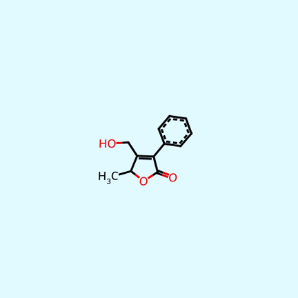 CC1OC(=O)C(c2ccccc2)=C1CO